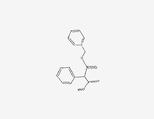 COC(=O)C(C(=O)OCc1ccccc1)c1cc[c]cc1